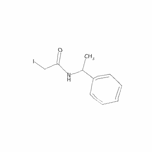 CC(NC(=O)CI)c1ccccc1